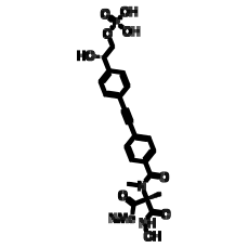 CNC(=O)[C@@](C)(C(=O)NO)N(C)C(=O)c1ccc(C#Cc2ccc([C@H](O)COP(=O)(O)O)cc2)cc1